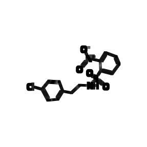 O=[N+]([O-])c1ccccc1S(=O)(=O)NCCc1ccc(Cl)cc1